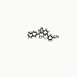 C[C@H](c1ccc2ncccc2c1)c1nnc2ccc(-c3cccc(C#N)c3)nn12